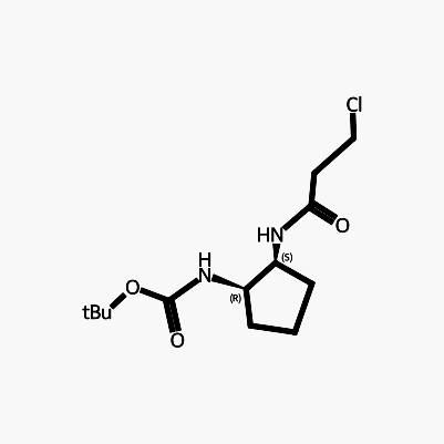 CC(C)(C)OC(=O)N[C@@H]1CCC[C@@H]1NC(=O)CCCl